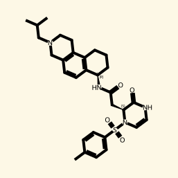 Cc1ccc(S(=O)(=O)N2C=CNC(=O)[C@@H]2CC(=O)N[C@@H]2CCCc3c2ccc2c3CCN(CC(C)C)C2)cc1